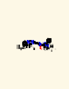 Cc1cccc(N2CCN(CCCCNC(=O)C3C=C(c4ccccc4)N(C)C3C)CC2)c1C